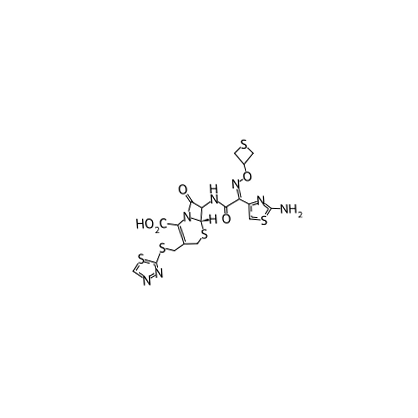 Nc1nc(C(=NOC2CSC2)C(=O)NC2C(=O)N3C(C(=O)O)=C(CSc4nncs4)CS[C@@H]23)cs1